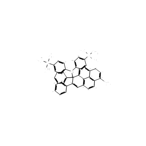 C[Si](C)(C)c1ccc(N(c2ccc([Si](C)(C)C)cc2)C2(c3ccccc3)C(c3ccccc3)=Cc3ccc4c5c(ccc2c35)CC=C4N)cc1